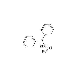 CCCCP(c1ccccc1)c1ccccc1.[Cl][Pt]